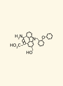 NC(=O)c1cccc2c1c1c(OCC(=O)O)cc(CO)cc1n2Cc1ccccc1Oc1ccccc1